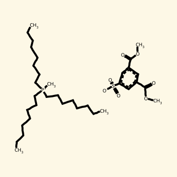 CCCCCCCC[P+](C)(CCCCCCCC)CCCCCCCC.COC(=O)c1cc(C(=O)OC)cc(S(=O)(=O)[O-])c1